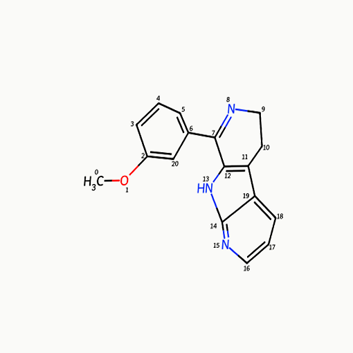 COc1cccc(C2=NCCc3c2[nH]c2ncccc32)c1